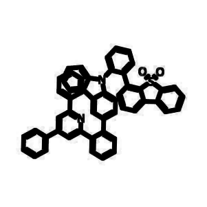 O=S1(=O)c2ccccc2-c2cccc(-c3ccccc3-n3c4ccccc4c4cc(-c5ccccc5-c5cc(-c6ccccc6)cc(-c6ccccc6)n5)ccc43)c21